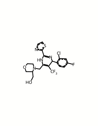 OCC1COCCN1CC1=C(C(F)(F)F)C(c2ccc(F)cc2Cl)N=C(c2nccs2)N1